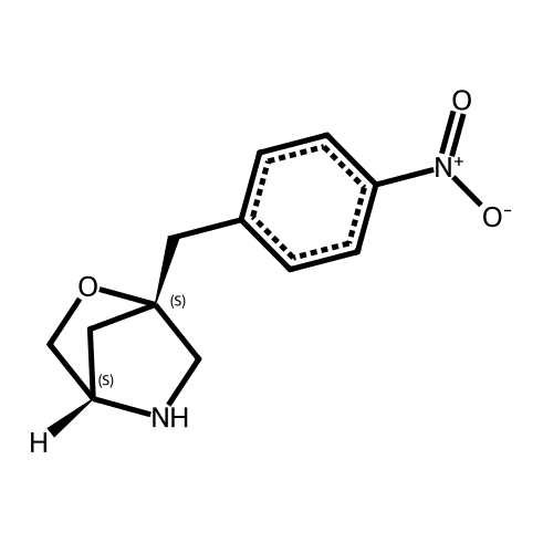 O=[N+]([O-])c1ccc(C[C@]23CN[C@H](CO2)C3)cc1